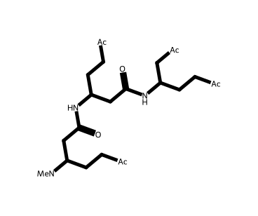 CNC(CCC(C)=O)CC(=O)NC(CCC(C)=O)CC(=O)NC(CCC(C)=O)CC(C)=O